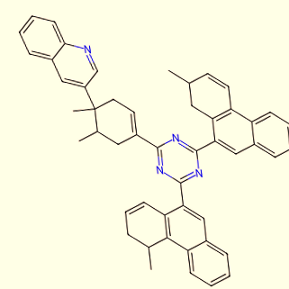 CC1C=Cc2c(c(-c3nc(C4=CCC(C)(c5cnc6ccccc6c5)C(C)C4)nc(-c4cc5ccccc5c5c4C=CCC5C)n3)cc3ccccc23)C1